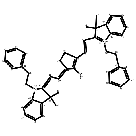 CC1(C)C(/C=C/C2=C(Cl)C(=C/C=C3/N(CCc4ccccc4)c4ccccc4C3(C)C)/CC2)=[N+](CCc2ccccc2)c2ccccc21